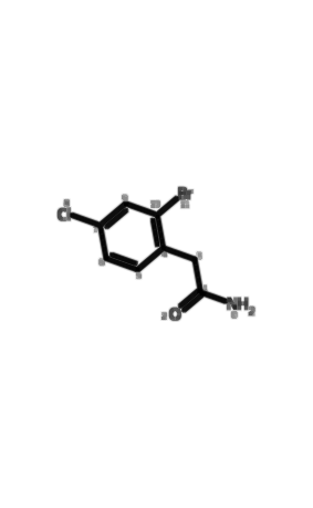 NC(=O)Cc1ccc(Cl)cc1Br